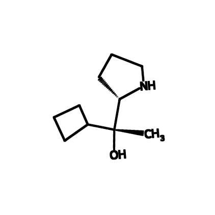 C[C@@](O)(C1CCC1)[C@@H]1CCCN1